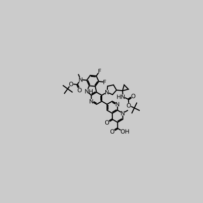 CN(C(=O)OC(C)(C)C)c1cc(F)c(F)c2c1[nH]c1ncc(-c3cnc4c(c3)c(=O)c(C(=O)O)cn4C)c(N3CCC(C4(NC(=O)OC(C)(C)C)CC4)C3)c12